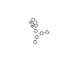 C1=Cc2ccccc2C2(c3ccccc31)c1ccccc1-c1ccc(-c3ccc(N(c4ccc(-c5ccccc5)cc4)c4ccc(-c5ccccc5)cc4)cc3)cc12